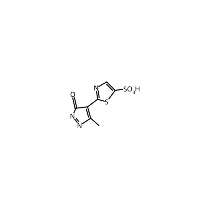 CC1=C(c2ncc(S(=O)(=O)O)s2)C(=O)N=N1